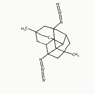 CC12CC3C4CC5(C)CC(C(C1)C3(N=[N+]=[N-])C5)C4(N=[N+]=[N-])C2